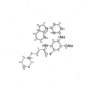 COc1cc(F)c(NC(=O)/C=C/CN2CCOCC2)cc1Nc1nccc(-n2ccc3cccnc32)n1